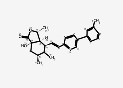 Cc1cccc(-c2ccc(/C=C/[C@H]3C(C)[C@@H](C)C[C@@]4(O)C(=O)O[C@H](C)[C@@H]34)nc2)c1